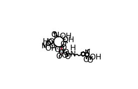 CC[C@H]1OC(=O)[C@H](C)[C@@H](O[C@H]2C[C@@](C)(OC)[C@@H](OS(=O)(=O)CCNCCCc3ccc4c(c3)c(=O)c(C(=O)O)cn4CC)[C@H](C)O2)[C@H](C)[C@@H](O[C@@H]2O[C@H](C)C[C@H](N(C)C)[C@H]2O)[C@](C)(O)C[C@@H](C)/C(=N\OC)[C@H](C)[C@@H](O)[C@]1(C)O